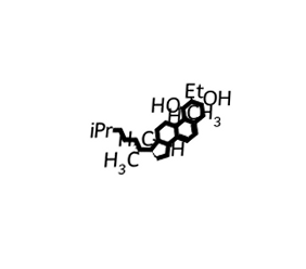 CC[C@@H]1[C@H](O)CC2=CC=C3[C@@H]4CC[C@H]([C@H](C)CCCC(C)C)[C@@]4(C)CC[C@@H]3[C@@]2(C)[C@H]1O